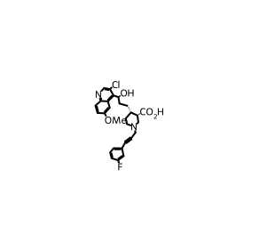 COc1ccc2ncc(Cl)c([C@@H](O)CC[C@H]3CCN(CC#Cc4cccc(F)c4)C[C@H]3C(=O)O)c2c1